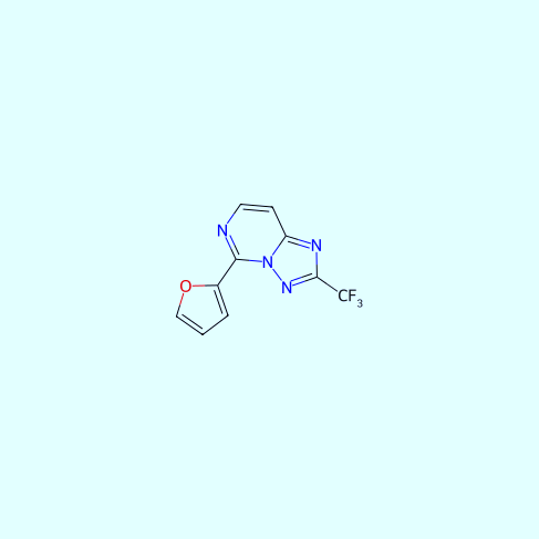 FC(F)(F)c1nc2ccnc(-c3ccco3)n2n1